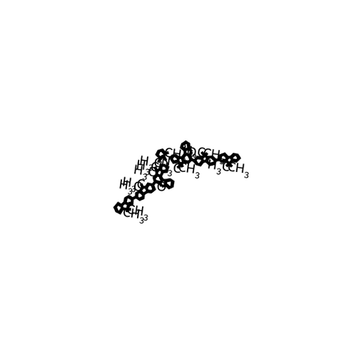 Cc1cccc(C)c1N(c1ccc2c(c1)C(C)(C)c1cc(-c3ccc4c(c3)C(C)(C)c3cc(-c5ccc6c(c5)C(C)(C)c5ccccc5-6)ccc3-4)c3oc4ccccc4c3c1-2)c1ccc2c(c1)C(C)(C)c1cc(-c3ccc4c(c3)C(C)(C)c3cc(-c5ccc6c(c5)C(C)(C)c5ccccc5-6)ccc3-4)c3oc4ccccc4c3c1-2